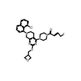 O=C(/C=C/CF)N1CCN(c2nc(OCC3COC3)nc3c2CCN(c2cccc4cccc(Cl)c24)C3)CC1